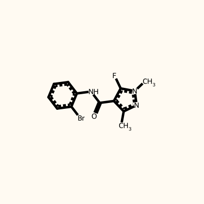 Cc1nn(C)c(F)c1C(=O)Nc1ccccc1Br